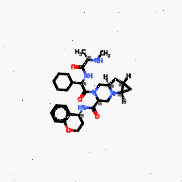 CN[C@@H](C)C(=O)N[C@H](C(=O)N1C[C@H]2C[C@@H]3C[C@@H]3N2C[C@H]1C(=O)N[C@@H]1CCOc2ccccc21)C1CCCCC1